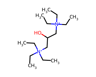 CC[N+](CC)(CC)CC(O)C[N+](CC)(CC)CC